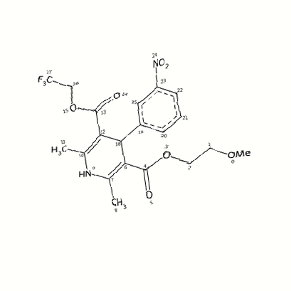 COCCOC(=O)C1=C(C)NC(C)=C(C(=O)OCC(F)(F)F)C1c1cccc([N+](=O)[O-])c1